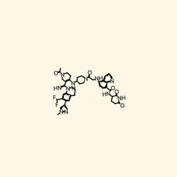 CC(=O)N1CCC(NC2CCN(C(=O)CNc3ccc(C(=O)NC4CCC(=O)NC4=O)c4ncccc34)CC2)=C(C(=N)N2CCCc3cc(-c4cnn(C)c4)c(C(F)F)cc32)C1